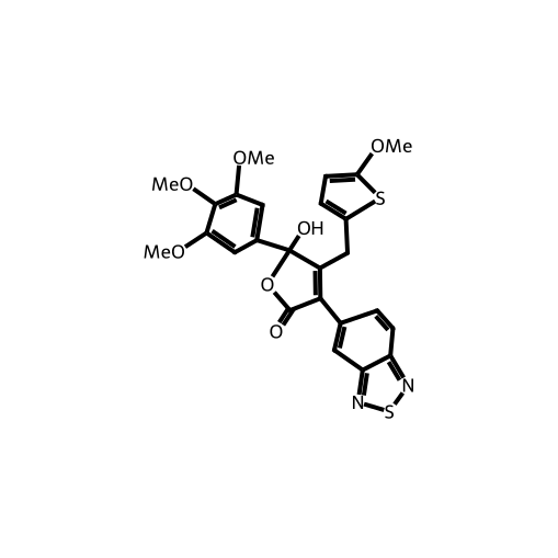 COc1ccc(CC2=C(c3ccc4nsnc4c3)C(=O)OC2(O)c2cc(OC)c(OC)c(OC)c2)s1